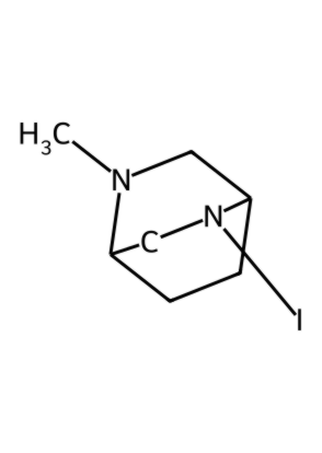 CN1CC2CCC1CN2I